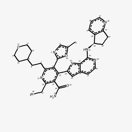 Cc1cnc(-c2c(CCC3CCOCC3)nc(CC(C)C)c(C(N)=O)c2-c2cc3ccnc(N[C@@H]4CCc5ncccc54)c3s2)o1